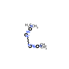 CN(C)c1ccc(/N=N/c2ccc[n+](CCCCCC[n+]3cccc(/N=N/c4ccc(N(C)C)cc4)c3)c2)cc1